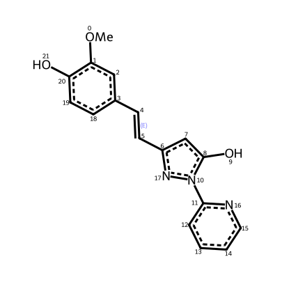 COc1cc(/C=C/c2cc(O)n(-c3ccccn3)n2)ccc1O